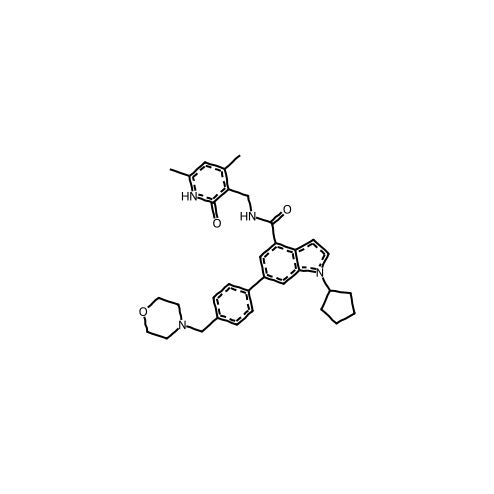 Cc1cc(C)c(CNC(=O)c2cc(-c3ccc(CN4CCOCC4)cc3)cc3c2ccn3C2CCCC2)c(=O)[nH]1